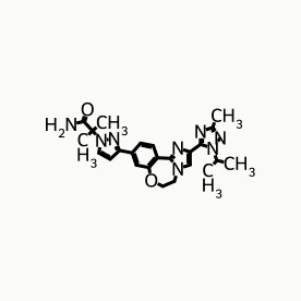 Cc1nc(-c2cn3c(n2)-c2ccc(-c4ccn(C(C)(C)C(N)=O)n4)cc2OCC3)n(C(C)C)n1